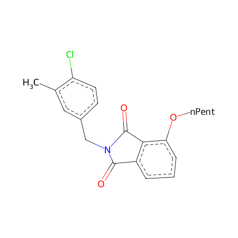 CCCCCOc1cccc2c1C(=O)N(Cc1ccc(Cl)c(C)c1)C2=O